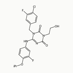 CC(C)Oc1ccc(Nc2nc(=O)n(CCO)c(=O)n2Cc2ccc(Cl)c(F)c2)cc1F